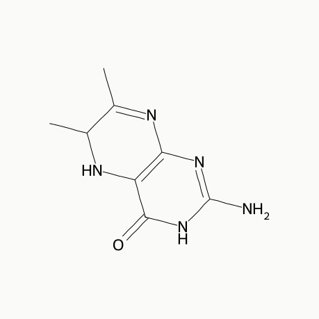 CC1=Nc2nc(N)[nH]c(=O)c2NC1C